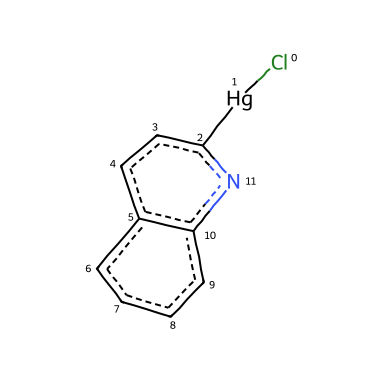 [Cl][Hg][c]1ccc2ccccc2n1